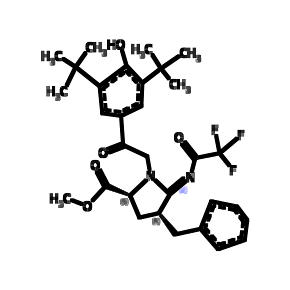 COC(=O)[C@@H]1C[C@H](Cc2ccccc2)/C(=N/C(=O)C(F)(F)F)N1CC(=O)c1cc(C(C)(C)C)c(O)c(C(C)(C)C)c1